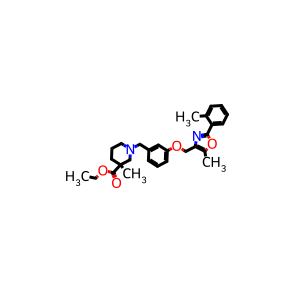 CCOC(=O)C1(C)CCCN(Cc2cccc(OCc3nc(-c4ccccc4C)oc3C)c2)C1